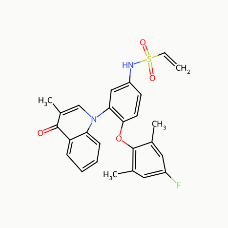 C=CS(=O)(=O)Nc1ccc(Oc2c(C)cc(F)cc2C)c(-n2cc(C)c(=O)c3ccccc32)c1